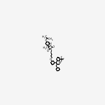 CC(C)Oc1ccc(C2(C)NC(=O)N(CCCCCOc3cccc(-c4c(Cc5ccccc5)cnc5c(C(F)(F)F)cccc45)c3)C2=O)cc1